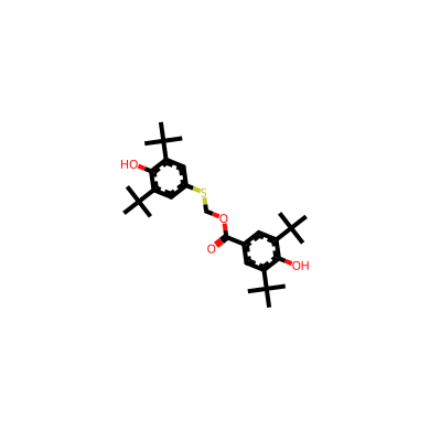 CC(C)(C)c1cc(SCOC(=O)c2cc(C(C)(C)C)c(O)c(C(C)(C)C)c2)cc(C(C)(C)C)c1O